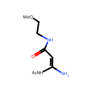 COCCNC(=O)/C=C(/N)NC(C)=O